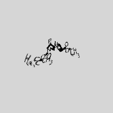 CCOC(=O)c1cnn(C2CN(C(=O)OC(C)(C)C)C[C@@H]2F)c1